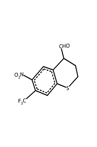 O=CC1CCSc2cc(C(F)(F)F)c([N+](=O)[O-])cc21